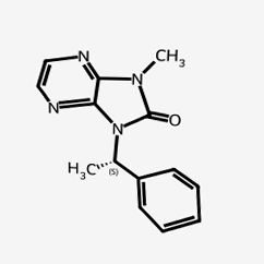 C[C@@H](c1ccccc1)n1c(=O)n(C)c2nccnc21